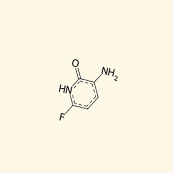 Nc1ccc(F)[nH]c1=O